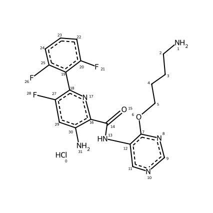 Cl.NCCCCOc1ncncc1NC(=O)c1nc(-c2c(F)cccc2F)c(F)cc1N